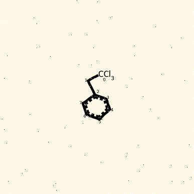 ClC(Cl)(Cl)Cc1cc[c]cc1